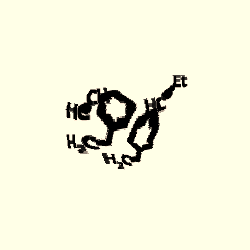 C#C.C#CCC.C=Cc1ccccc1.C=Cc1ccccc1